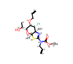 C=CCO[C@H]1[C@H](F)[C@H]2N=C(N(CC=C)C(=O)OC(C)(C)C)S[C@H]2O[C@@H]1C(C)O